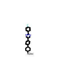 CCCCCCCCCCC1CCC(c2ccc(-c3cnc(-c4ccc(F)cc4)nc3)cc2)CC1